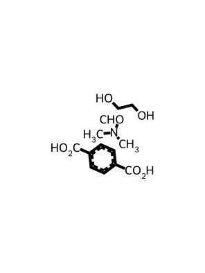 CN(C)C=O.O=C(O)c1ccc(C(=O)O)cc1.OCCO